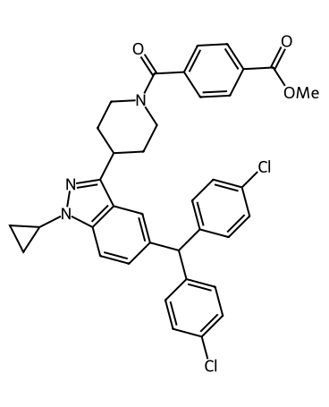 COC(=O)c1ccc(C(=O)N2CCC(c3nn(C4CC4)c4ccc(C(c5ccc(Cl)cc5)c5ccc(Cl)cc5)cc34)CC2)cc1